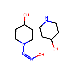 O/N=N\N1CCC(O)CC1.OC1CCNCC1